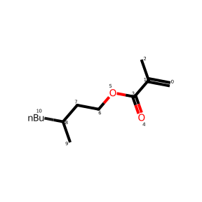 C=C(C)C(=O)OCCC(C)CCCC